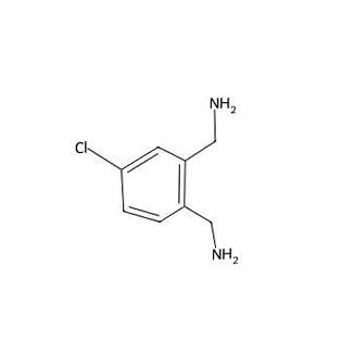 NCc1ccc(Cl)cc1CN